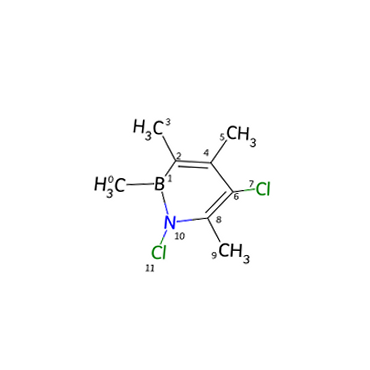 CB1C(C)=C(C)C(Cl)=C(C)N1Cl